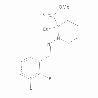 CCC1(C(=O)OC)CCCCN1N=Cc1cccc(F)c1F